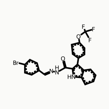 O=C(NN=Cc1ccc(Br)cc1)c1[nH]c2ccccc2c1-c1ccc(OC(F)(F)F)cc1